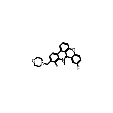 C[n+]1c2c3c(cccc3c3ccc(CN4CCOCC4)c(F)c31)Oc1ccc(F)cc1-2